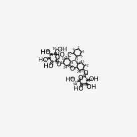 O=C(O)c1ccccc1C1c2ccc(O[C@@H]3O[C@H](CO)[C@H](O)[C@H](O)[C@H]3O)cc2Oc2cc(O[C@@H]3O[C@H](CO)[C@H](O)[C@H](O)[C@H]3O)ccc21